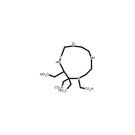 O=C(O)CC1NCCNCCNCCN(CC(=O)O)C1(CC(=O)O)CC(=O)O